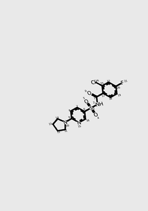 O=C(NS(=O)(=O)c1ccc(N2CCCC2)nc1)c1ccc(F)cc1Cl